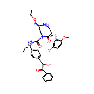 CCON=C1CN(C(=O)N[C@H](CC)c2ccc(C(O)C(=O)c3ccccc3)cc2)C(=O)[C@@H](Cc2cc(Cl)ccc2OC)CN1